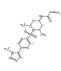 C=CC(=O)NC1CC(C)N(S(=O)(=O)c2ccc(-c3ccnn3C)cc2)C(C)C1